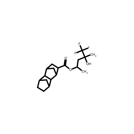 CC(CC(C)(O)C(F)(F)F)OC(=O)C1CC2CC1C1C3CCC(C3)C21